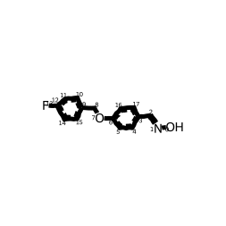 ON=Cc1ccc(OCc2ccc(F)cc2)cc1